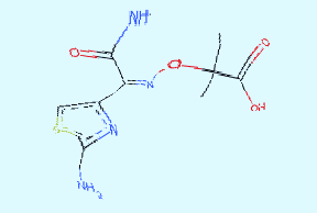 CC(C)(O/N=C(\C([NH])=O)c1csc(N)n1)C(=O)O